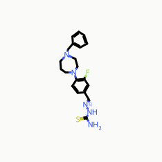 NC(=S)N/N=C/c1ccc(N2CCCN(Cc3ccccc3)CC2)c(F)c1